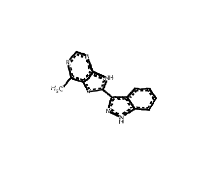 Cc1ncnc2[nH]c(-c3n[nH]c4ccccc34)nc12